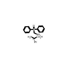 CC(C)[C@H](N)C(=O)O.NCP(=O)(c1ccccc1)c1ccccc1